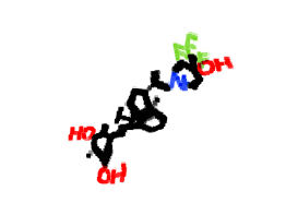 C=C1C(=CC=C2CCC[C@]3(C)[C@@H](C(C)CN4CCC(O)(C(F)(F)F)CC4)CC[C@@H]23)C[C@@H](O)[C@H](C)[C@@H]1O